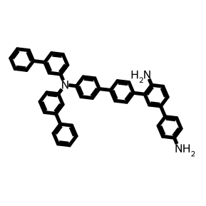 Nc1ccc(-c2ccc(N)c(-c3ccc(-c4ccc(N(c5cccc(-c6ccccc6)c5)c5cccc(-c6ccccc6)c5)cc4)cc3)c2)cc1